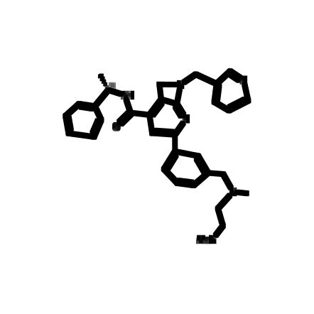 CNCCN(C)Cc1cccc(-c2cc(C(=O)N[C@@H](C)c3ccccc3)c3c(n2)N(Cc2cccnc2)C3)c1